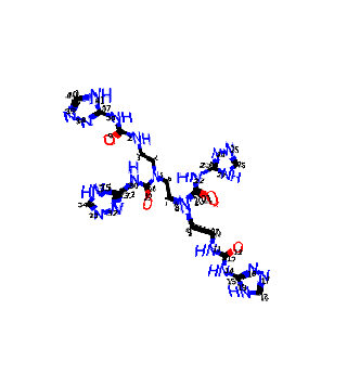 O=C(NCCN(CCN(CCNC(=O)Nc1nnc[nH]1)C(=O)Nc1nnc[nH]1)C(=O)Nc1nnc[nH]1)Nc1nnc[nH]1